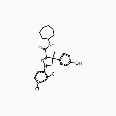 CC1(c2ccc(O)cc2)CN(c2ccc(Cl)cc2Cl)N=C1C(=O)NC1CCCCCC1